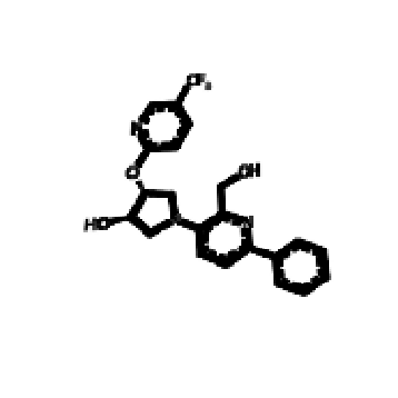 OCc1nc(-c2ccccc2)ccc1N1C[C@@H](O)[C@H](Oc2ccc(C(F)(F)F)cn2)C1